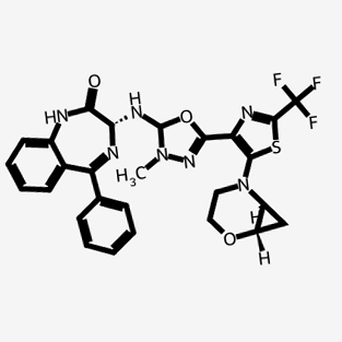 CN1N=C(c2nc(C(F)(F)F)sc2N2CCO[C@H]3C[C@H]32)OC1N[C@@H]1N=C(c2ccccc2)c2ccccc2NC1=O